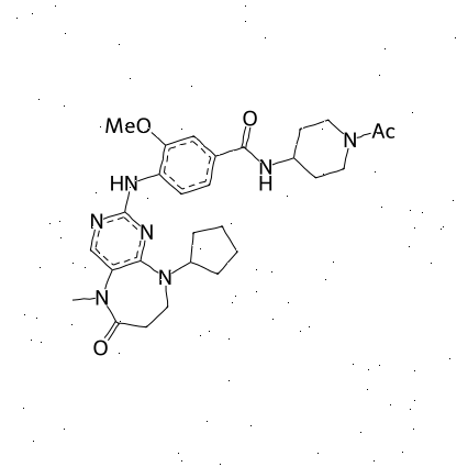 COc1cc(C(=O)NC2CCN(C(C)=O)CC2)ccc1Nc1ncc2c(n1)N(C1CCCC1)CCC(=O)N2C